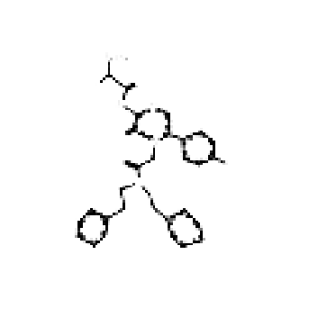 CNC(C)C(=O)Nc1ncc(-c2ccc(F)cc2)n(CC(=O)N(CCc2ccccc2)CCc2ccccc2)c1=O